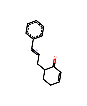 O=C1C=CCCC1C/C=C/c1ccccc1